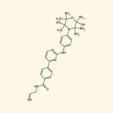 BC1(B)OC(B)(O)C(B)(B)N(c2ccc(Nc3nccc(-c4ccc(C(=O)NCC=N)cc4)n3)cc2)C1(B)O